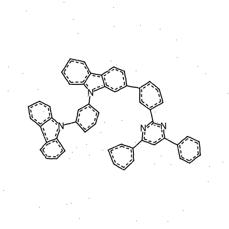 c1ccc(-c2cc(-c3ccccc3)nc(-c3cccc(-c4ccc5c6ccccc6n(-c6cccc(-n7c8ccccc8c8ccccc87)c6)c5c4)c3)n2)cc1